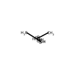 CCCCCCCCCCCCCCCCCC(=O)NC(CNC(=O)C(N)CCC(=O)O)COC(=O)CCCCCCCCCCCCCCCCC